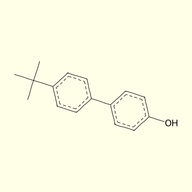 CC(C)(C)c1ccc(-c2ccc(O)cc2)cc1